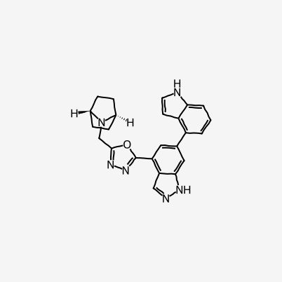 c1cc(-c2cc(-c3nnc(CN4[C@H]5CC[C@H]4CC5)o3)c3cn[nH]c3c2)c2cc[nH]c2c1